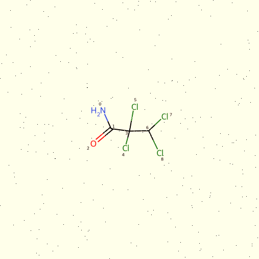 NC(=O)C(Cl)(Cl)C(Cl)Cl